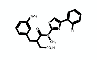 COc1cccc(CC(CC(=O)O)C(=O)N(C)c2nc(-c3ccccc3Cl)cs2)c1